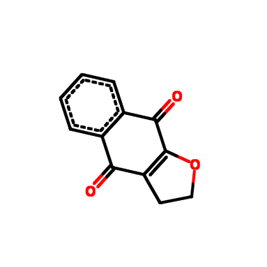 O=C1C2=C(OCC2)C(=O)c2ccccc21